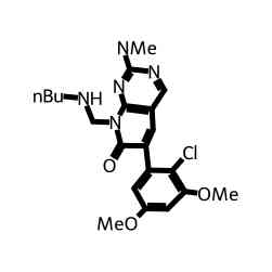 CCCCNCn1c(=O)c(-c2cc(OC)cc(OC)c2Cl)cc2cnc(NC)nc21